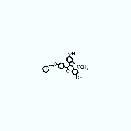 COc1cc(O)ccc1-c1sc2cc(O)ccc2c1C(=O)c1ccc(OCCN2CCCCC2)cc1